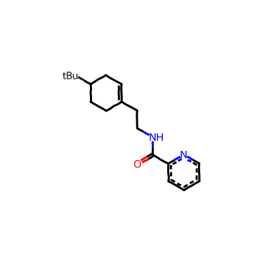 CC(C)(C)C1CC=C(CCNC(=O)c2ccccn2)CC1